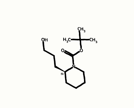 CC(C)(C)OC(=O)N1CCCC[C@H]1CCCO